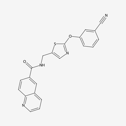 N#Cc1cccc(Oc2ncc(CNC(=O)c3ccc4ncccc4c3)s2)c1